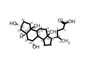 CC(CCC(=O)O)[C@H]1CCC2C3C(CCC21C)C1(C)CC[C@@H](O)C[C@H]1C[C@H]3O